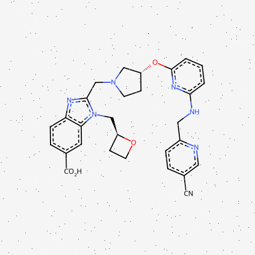 N#Cc1ccc(CNc2cccc(O[C@@H]3CCN(Cc4nc5ccc(C(=O)O)cc5n4C[C@@H]4CCO4)C3)n2)nc1